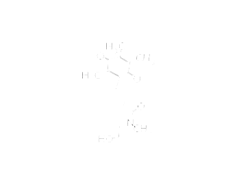 CC1=C(C)C(=O)C(CCCC(=O)N(C)CCO)=C(C)C1=O